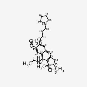 CCNc1c2c(nc3cc(OCCCN4CCCC4)c(OC)cc13)CC(C)C2(C)C